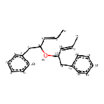 C/C=C/C(Cc1ccccc1)OC(/C=C/C)Cc1ccccc1